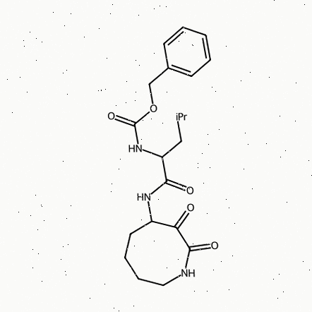 CC(C)CC(NC(=O)OCc1ccccc1)C(=O)NC1CCCCNC(=O)C1=O